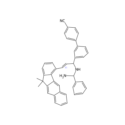 CC1(C)c2cc3ccccc3cc2-c2c(/C=C/C(NC(N)c3ccccc3)c3cccc(-c4ccc(C#N)cc4)c3)cccc21